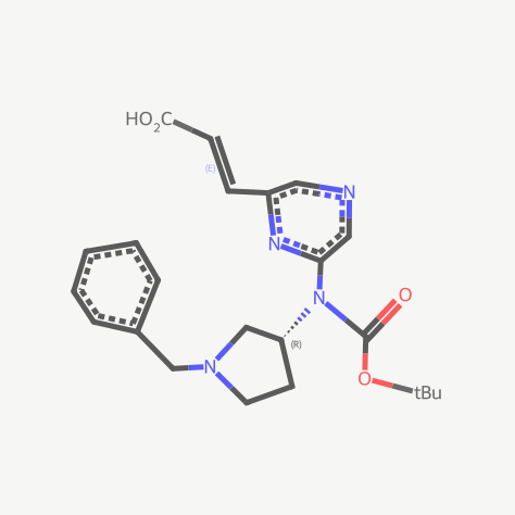 CC(C)(C)OC(=O)N(c1cncc(/C=C/C(=O)O)n1)[C@@H]1CCN(Cc2ccccc2)C1